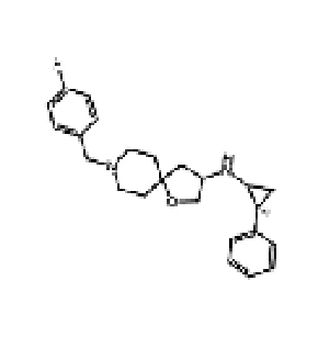 Fc1ccc(CN2CCC3(CC2)CC(NC2C[C@H]2c2ccccc2)CO3)cc1